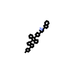 Cc1ccc(-c2cccc3c(-c4c5ccccc5c(-c5ccc(-c6ccc(-c7ccc8ccccc8c7)nc6)cc5)c5ccccc45)cccc23)cc1